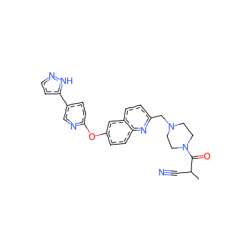 CC(C#N)C(=O)N1CCN(Cc2ccc3cc(Oc4ccc(-c5ccn[nH]5)cn4)ccc3n2)CC1